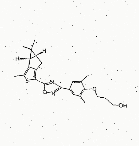 Cc1cc(-c2noc(-c3sc(C)c4c3C[C@@H]3[C@H]4C3(C)C)n2)cc(C)c1OCCCO